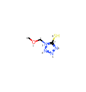 COCn1nnnc1S